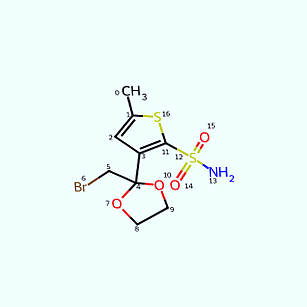 Cc1cc(C2(CBr)OCCO2)c(S(N)(=O)=O)s1